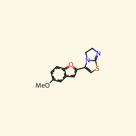 COc1ccc2oc(C3=CSC4=NCCN34)cc2c1